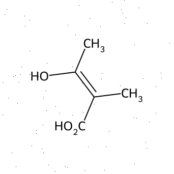 CC(O)=C(C)C(=O)O